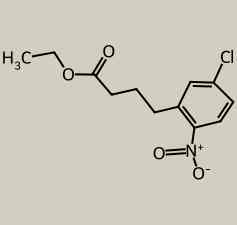 CCOC(=O)CCCc1cc(Cl)ccc1[N+](=O)[O-]